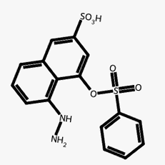 NNc1cccc2cc(S(=O)(=O)O)cc(OS(=O)(=O)c3ccccc3)c12